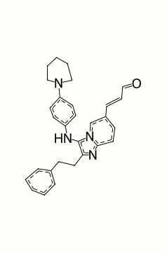 O=C/C=C/c1ccc2nc(CCc3ccccc3)c(Nc3ccc(N4CCCCC4)cc3)n2c1